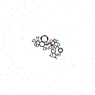 COC(=O)NC1C(=O)C[C@H](O)/C(=C/CS(C)=S)C2=C1C#C/C=C\C#C[C@@H]2OC1OC(C)C2(SC)COC(c3ccccc3)OC2C1OC1CC(OC)C(NC(C)C)CO1